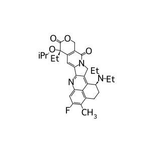 CCN(CC)[C@H]1CCc2c(C)c(F)cc3nc4c(c1c23)Cn1c-4cc2c(c1=O)COC(=O)[C@@]2(CC)OC(C)C